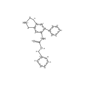 O=C(Nc1cc2c(nc1-c1ccccc1)CCNC2)OCc1ccccc1